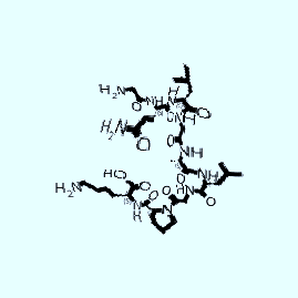 CC(C)C[C@H](NC(=O)[C@H](C)NC(=O)CNC(=O)[C@H](CC(C)C)NC(=O)[C@H](CCC(N)=O)NC(=O)CN)C(=O)NCC(=O)N1CCC[C@H]1C(=O)N[C@@H](CCCCN)C(=O)O